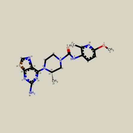 COc1ccc(NC(=O)N2CCN(c3nc(N)nc4scnc34)[C@@H](C)C2)c(C)n1